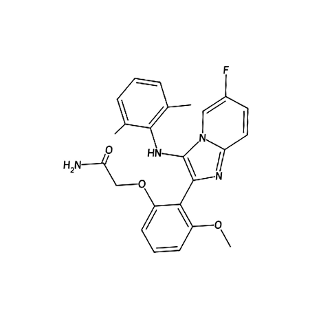 COc1cccc(OCC(N)=O)c1-c1nc2ccc(F)cn2c1Nc1c(C)cccc1C